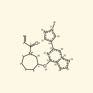 C=CC(=O)N1CCCCC(Oc2nc(-c3cnn(C)c3)cn3nccc23)C1